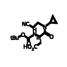 CC(C)(C)OC(=O)N[C@@H](CC(=O)O)C(=O)N(CCC#N)C1CC1